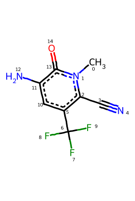 Cn1c(C#N)c(C(F)(F)F)cc(N)c1=O